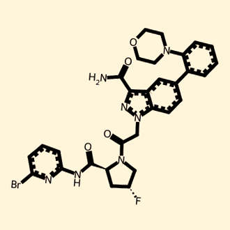 NC(=O)c1nn(CC(=O)N2C[C@H](F)C[C@H]2C(=O)Nc2cccc(Br)n2)c2ccc(-c3ccccc3N3CCOCC3)cc12